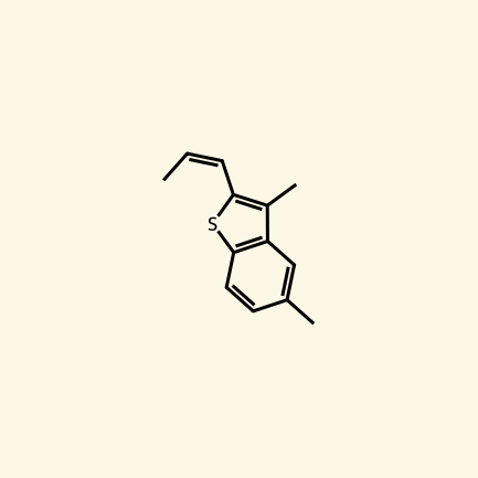 C/C=C\c1sc2ccc(C)cc2c1C